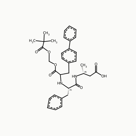 C[C@H](CC(=O)O)NC(=O)[C@H](Cc1ccccc1)NC(Cc1ccc(-c2ccccc2)cc1)C(=O)OCOC(=O)C(C)(C)C